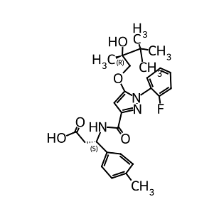 Cc1ccc([C@H](CC(=O)O)NC(=O)c2cc(OC[C@](C)(O)C(C)(C)C)n(-c3ccccc3F)n2)cc1